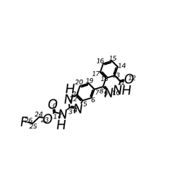 O=C(Nc1nc2cc(-c3n[nH]c(=O)c4ccccc34)ccc2[nH]1)OCCF